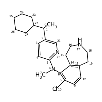 CC(c1ccc(N(C)c2c(Cl)ccc3c2CCNCC3)nc1)C1CCCCC1